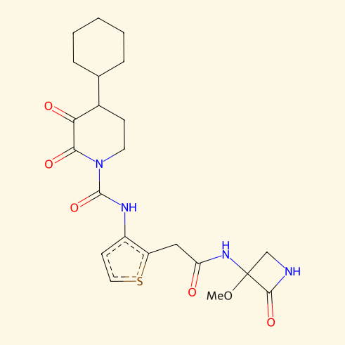 COC1(NC(=O)Cc2sccc2NC(=O)N2CCC(C3CCCCC3)C(=O)C2=O)CNC1=O